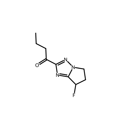 CCCC(=O)c1nc2n(n1)CCC2F